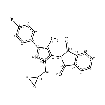 Cc1c(-c2ccc(F)cc2)nn(CC2CC2)c1N1C(=O)c2ccccc2C1=O